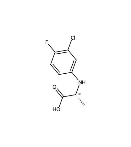 C[C@@H](Nc1ccc(F)c(Cl)c1)C(=O)O